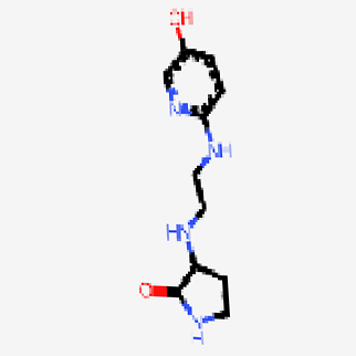 O=C1NCCC1NCCNc1ccc(O)cn1